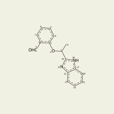 CC(Oc1ccccc1C=O)c1nc2ccccc2[nH]1